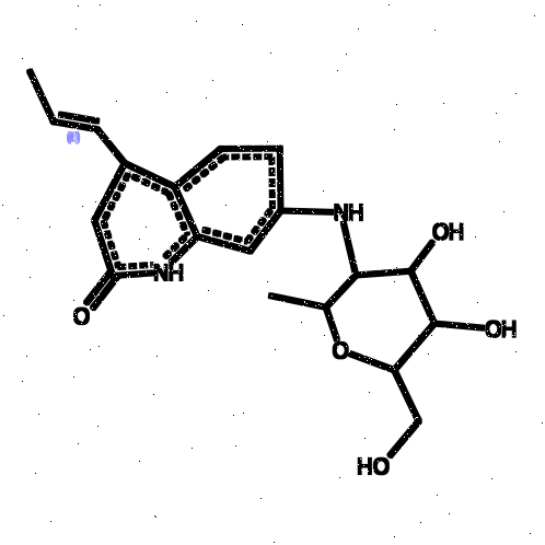 C/C=C/c1cc(=O)[nH]c2cc(NC3C(C)OC(CO)C(O)C3O)ccc12